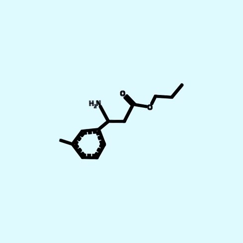 CCCOC(=O)CC(N)c1cccc(C)c1